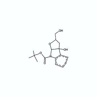 CC(C)(C)OC(=O)N1c2ccccc2C2(O)CC(CO)OC12